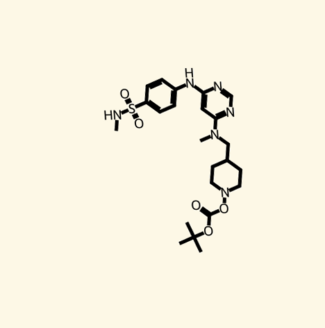 CNS(=O)(=O)c1ccc(Nc2cc(N(C)CC3CCN(OC(=O)OC(C)(C)C)CC3)ncn2)cc1